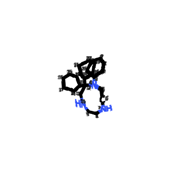 C1CCC(N2CCNCCNCC2(C2CCCCC2)C2CCCCC2)CC1